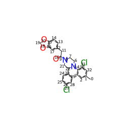 Cc1ccc(N2CCN(C(=O)Cc3ccc4c(c3)OCO4)CC2c2ccc(Cl)cc2)c(Cl)c1